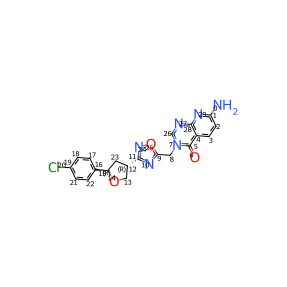 Nc1ccc2c(=O)n(Cc3nc([C@@H]4CO[C@@H](c5ccc(Cl)cc5)C4)no3)cnc2n1